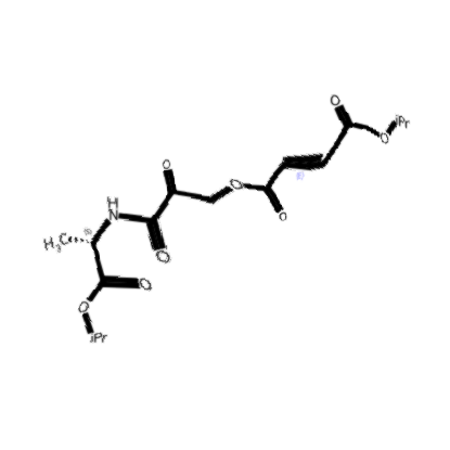 CC(C)OC(=O)/C=C/C(=O)OCC(=O)C(=O)N[C@@H](C)C(=O)OC(C)C